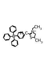 CC[N+]1=C(C)SC(C)C1.c1ccc([B-](c2ccccc2)(c2ccccc2)c2ccccc2)cc1